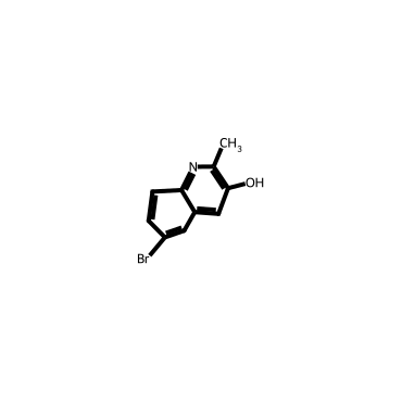 Cc1nc2ccc(Br)cc2cc1O